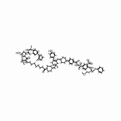 COCC[C@H](CSc1ccccc1)Nc1ccc(S(=O)(=O)NC(=O)c2ccc(N3CCN(CC4=C(c5ccc(Cl)cc5)CCC(C)(CN5CCN(C(=O)CCCCCCCN[C@H](C(=O)N6C[C@H](O)C[C@H]6C(=O)N[C@@H](C)c6ccc(-c7scnc7C)cc6)C(C)(C)C)CC5)C4)CC3)cc2)cc1[N+](=O)[O-]